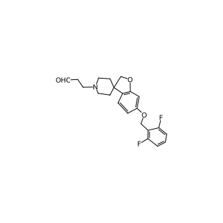 O=CCCN1CCC2(CC1)COc1cc(OCc3c(F)cccc3F)ccc12